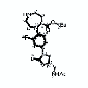 CC(=O)NC[C@H]1CN(c2cc(F)c(N3CCNCCN3C(=O)OC(C)(C)C)c(F)c2)C(=O)O1